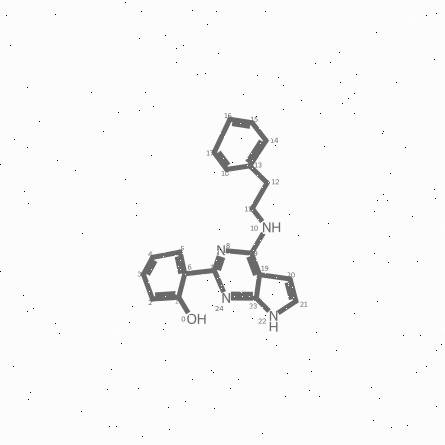 Oc1ccccc1-c1nc(NCCc2ccccc2)c2cc[nH]c2n1